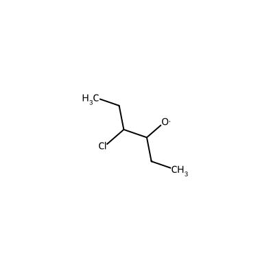 CCC([O])C(Cl)CC